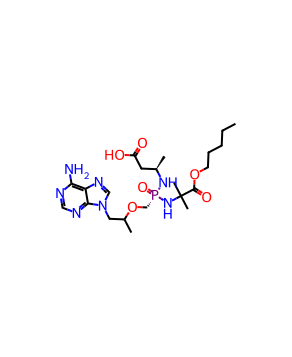 CCCCCOC(=O)C(C)(C)N[P@](=O)(COC(C)Cn1cnc2c(N)ncnc21)N[C@H](C)CC(=O)O